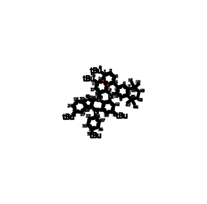 CC(C)(C)c1ccc(-c2cc3c(cc2N2c4ccc(C(C)(C)C)cc4B4c5sc6ccc(C(C)(C)C)cc6c5N(c5ccc(C(C)(C)C)cc5)c5cc(C(C)(C)C)cc2c54)C(C)(C)CCC3(C)C)cc1